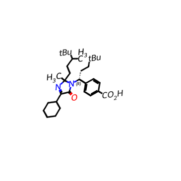 CC(CCC1(C)N=C(C2CCCCC2)C(=O)N1[C@H](CCC(C)(C)C)c1ccc(C(=O)O)cc1)C(C)(C)C